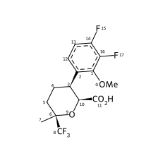 COc1c([C@@H]2CC[C@](C)(C(F)(F)F)O[C@@H]2C(=O)O)ccc(F)c1F